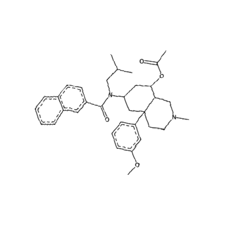 COc1cccc(C23CCN(C)CC2C(OC(C)=O)CC(N(CC(C)C)C(=O)c2ccc4ccccc4c2)C3)c1